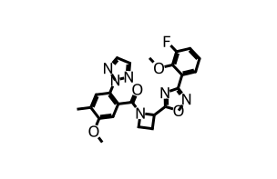 COc1cc(C(=O)N2CCC2c2nc(-c3cccc(F)c3OC)no2)c(-n2nccn2)cc1C